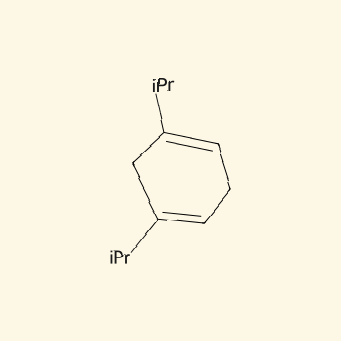 CC(C)C1=CCC=C(C(C)C)C1